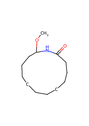 COC1CCCCCCCCCCC(=O)N1